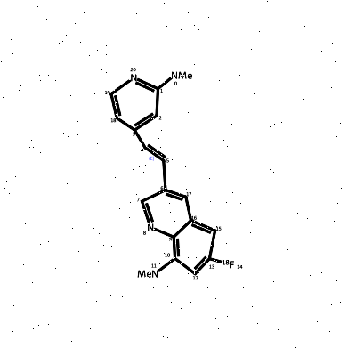 CNc1cc(/C=C/c2cnc3c(NC)cc([18F])cc3c2)ccn1